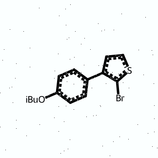 CC(C)COc1ccc(-c2ccsc2Br)cc1